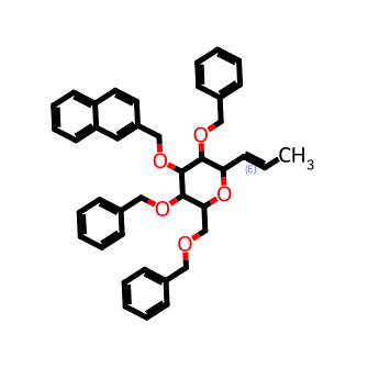 C/C=C/C1OC(COCc2ccccc2)C(OCc2ccccc2)C(OCc2ccc3ccccc3c2)C1OCc1ccccc1